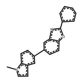 Cn1ccc2cc(-c3ccc4oc(-c5cc[c]cc5)nc4c3)ccc21